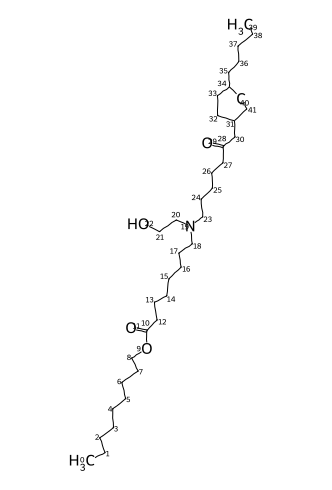 CCCCCCCCCOC(=O)CCCCCCCN(CCO)CCCCCC(=O)CC1CCC(CCCCC)CC1